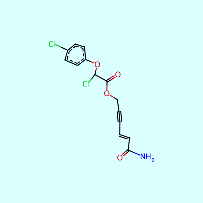 NC(=O)C=CC#CCOC(=O)C(Cl)Oc1ccc(Cl)cc1